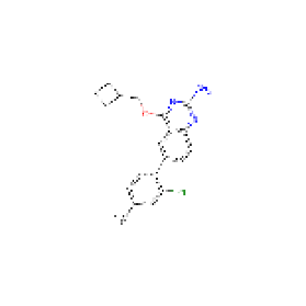 Nc1nc(OCC2CCC2)c2cc(-c3ccc(C(F)(F)F)cc3Cl)ccc2n1